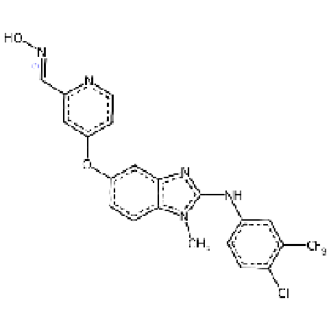 Cn1c(Nc2ccc(Cl)c(C(F)(F)F)c2)nc2cc(Oc3ccnc(/C=N/O)c3)ccc21